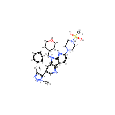 Cc1nnn(C)c1-c1cnc2c3ccc(N4CCN(S(C)(=O)=O)CC4)nc3n([C@H](c3ccccc3)C3CCOCC3)c2c1